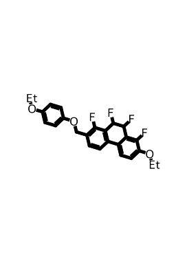 CCOc1ccc(OCc2ccc3c(c2F)C(F)C(F)c2c-3ccc(OCC)c2F)cc1